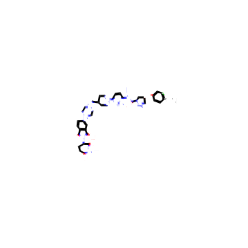 CN1CC(Oc2ccc(C#N)c(Cl)c2)CC1C(=O)Nc1ccc(N2CCC(CN3CCN(c4ccc5c(c4)C(=O)N(C4CCC(=O)NC4=O)C5=O)CC3)CC2)nn1